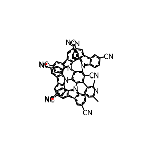 Cc1ccc(-c2c(C#N)c(-n3c4ccc(C#N)cc4c4cc(C#N)ccc43)c(-n3c4ccc(C#N)cc4c4cc(C#N)ccc43)c(-n3c4ccc(C#N)cc4c4cc(C#N)ccc43)c2-n2c3ccc(C#N)cc3c3cc(C#N)ccc32)c(C)n1